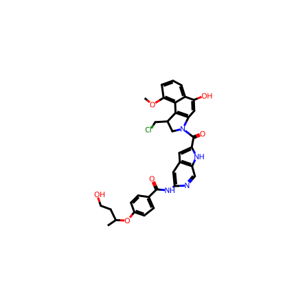 COc1cccc2c(O)cc3c(c12)C(CCl)CN3C(=O)c1cc2cc(NC(=O)c3ccc(OC(C)CCO)cc3)ncc2[nH]1